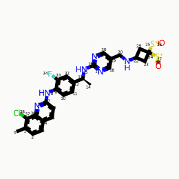 Cc1ccc2ccc(Nc3ccc([C@H](C)Nc4ncc(CNC5CC([S+]=O)([S+]=O)C5)cn4)cc3F)nc2c1Cl